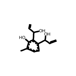 C=CC(O)c1ccc(C)c(O)c1C(O)C=C